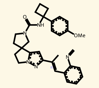 C=Nc1ccccc1/C=C(\C)c1cc2n(n1)CCC21CCN(C(=O)NC2(c3ccc(OC)cc3)CCC2)C1